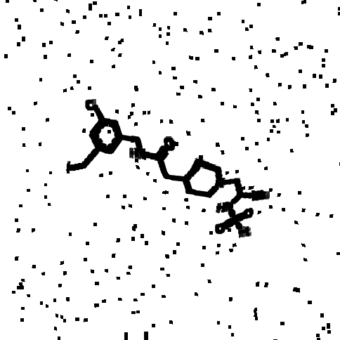 CCS(=O)(=O)NC(CN1CCC(CC(=O)NCc2cc(Cl)cc(CI)c2)CC1)C(C)(C)C